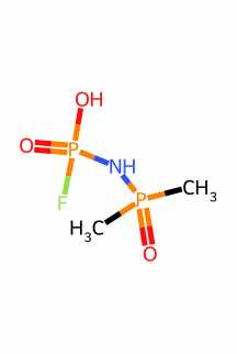 CP(C)(=O)NP(=O)(O)F